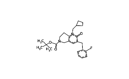 CC(C)(C)OC(=O)N1CCc2c(cc(Cc3ccccc3F)c(=O)n2CC2CCC2)C1